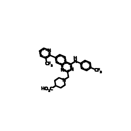 O=C(O)C1CCN(Cc2nc(Nc3ccc(C(F)(F)F)cc3)c3ccc(-c4ncccc4C(F)(F)F)cc3n2)CC1